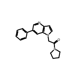 O=C(Cn1ccc2ncc(-c3ccccc3)cc21)N1CCCC1